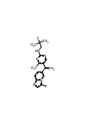 C=C(c1ccc2ncc(F)n2c1)c1cnc(NCC(C)(C)F)nc1C